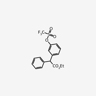 CCOC(=O)C(c1ccccc1)c1cccc(OS(=O)(=O)C(F)(F)F)c1